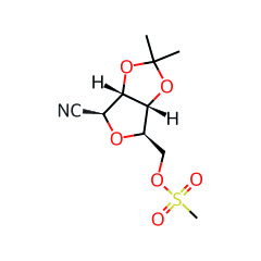 CC1(C)O[C@@H]2[C@H](O1)[C@@H](COS(C)(=O)=O)O[C@H]2C#N